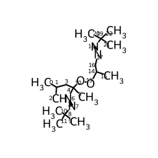 CC(C)CC(C)(N=NC(C)(C)C)OOC(C)CN=NC(C)(C)C